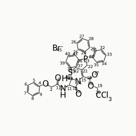 O=C(COc1ccccc1)N[C@@H]1C(=O)N2C(C(=O)OCC(Cl)(Cl)Cl)=C(C[P+](c3ccccc3)(c3ccccc3)c3ccccc3)CS[C@@H]12.[Br-]